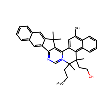 COCCC1(C)[n+]2cnc3c(c2-c2cc(C(C)(C)C)c4ccccc4c2C1(C)CCO)C(C)(C)c1cc2ccccc2cc1-3